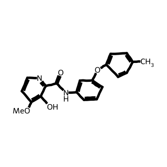 COc1ccnc(C(=O)Nc2cccc(Oc3ccc(C)cc3)c2)c1O